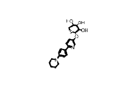 O[C@@H]1[C@@H](O)[C@H](Oc2ccc(-c3ccc(N4CCCCC4)cc3)nc2)SC[C@H]1O